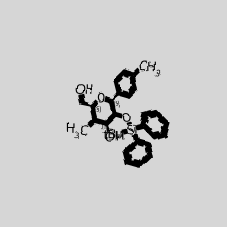 Cc1ccc([C@@H]2O[C@H](CO)C(C)[C@H](O)C2O[Si](c2ccccc2)(c2ccccc2)C(C)(C)C)cc1